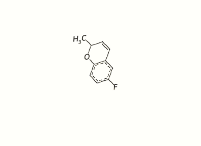 CC1C=Cc2cc(F)ccc2O1